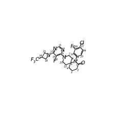 O=C1CCCC2(CCN(c3ncnc(N4CC(C(F)(F)F)C4)c3F)CC2)N1c1ccc(Cl)c(F)c1